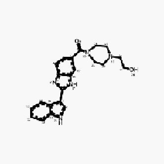 O=C(c1ccc2nc(-c3c[nH]c4ccccc34)[nH]c2c1)N1CCN(CCO)CC1